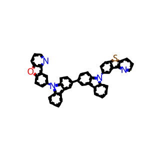 c1cnc2c(c1)oc1ccc(-n3c4ccccc4c4cc(-c5ccc6c(c5)c5ccccc5n6-c5ccc6sc7cccnc7c6c5)ccc43)cc12